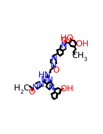 C=CC(=O)N1CCN(c2nc(NCCC(=O)N3CCN(Cc4ccc5c(c4)CN(C(=O)c4cc(CCC)c(O)cc4O)C5)CC3)nc3c2CCN(c2cc(O)cc4ccccc24)C3)CC1